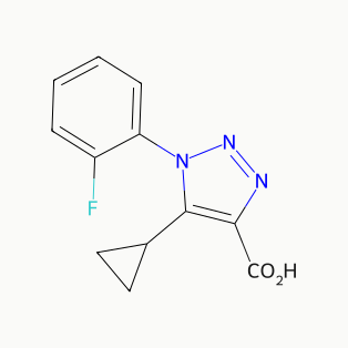 O=C(O)c1nnn(-c2ccccc2F)c1C1CC1